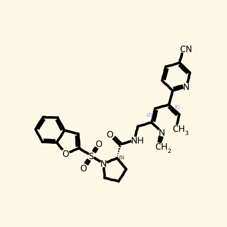 C=N/C(=C\C(=C/C)c1ccc(C#N)cn1)CNC(=O)[C@@H]1CCCN1S(=O)(=O)c1cc2ccccc2o1